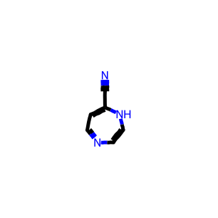 N#CC1=CC=NC=CN1